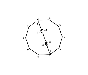 C1CCN2CCCCB(C1)CCCC2